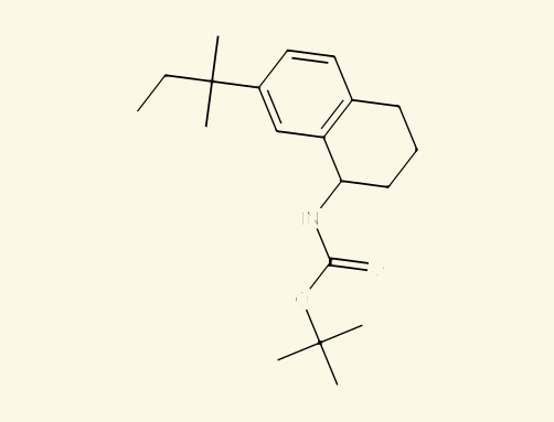 CCC(C)(C)c1ccc2c(c1)C(NC(=O)OC(C)(C)C)CCC2